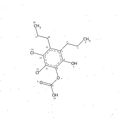 CCCc1c(O)c(OC(=O)O)c(Cl)c(Cl)c1CCC